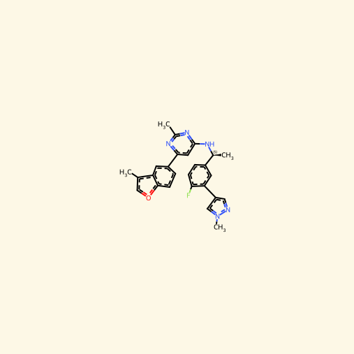 Cc1nc(N[C@@H](C)c2ccc(F)c(-c3cnn(C)c3)c2)cc(-c2ccc3occ(C)c3c2)n1